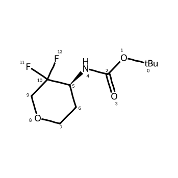 CC(C)(C)OC(=O)N[C@H]1CCOCC1(F)F